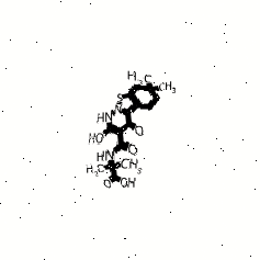 CC1(C)CCC2=C(C1)SN1NC(O)=C(C(=O)NC(C)(C)C(=O)O)C(=O)C21